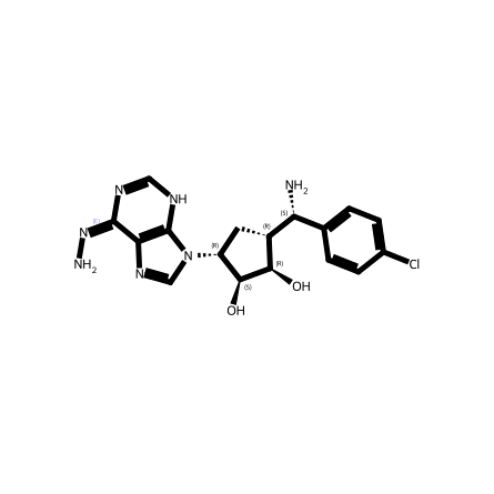 N/N=c1/nc[nH]c2c1ncn2[C@@H]1C[C@H]([C@H](N)c2ccc(Cl)cc2)[C@@H](O)[C@H]1O